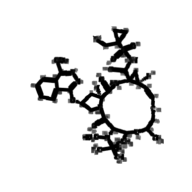 COc1nnc(O[C@@H]2C[C@H]3C(=O)N[C@]4(C(=O)NS(=O)(=O)C5(CF)CC5)C[C@H]4/C=C\CC[C@@H](C)C[C@@H](C)[C@H](N(C(=O)O)C(C)(C)C(F)(F)F)C(=O)N3C2)c2ccccc12